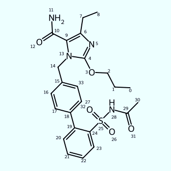 CCCOc1nc(CC)c(C(N)=O)n1Cc1ccc(-c2ccccc2S(=O)(=O)NC(C)=O)cc1